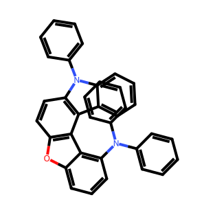 c1ccc(N(c2ccccc2)c2cccc3oc4ccc5c(c6ccccc6n5-c5ccccc5)c4c23)cc1